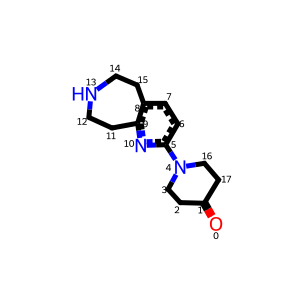 O=C1CCN(c2ccc3c(n2)CCNCC3)CC1